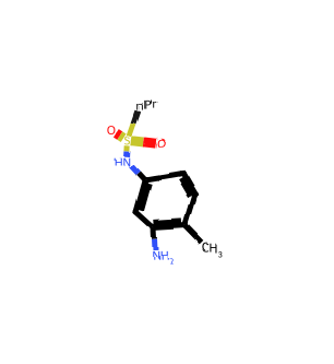 CCCS(=O)(=O)Nc1ccc(C)c(N)c1